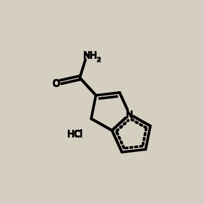 Cl.NC(=O)C1=Cn2cccc2C1